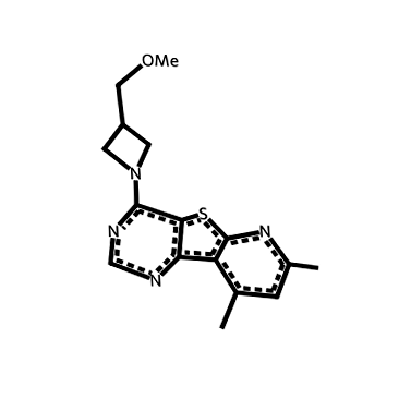 COCC1CN(c2ncnc3c2sc2nc(C)cc(C)c23)C1